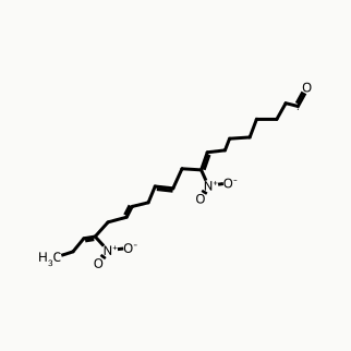 CC/C=C(/C/C=C/C/C=C/C/C(=C/CCCCCC[C]=O)[N+](=O)[O-])[N+](=O)[O-]